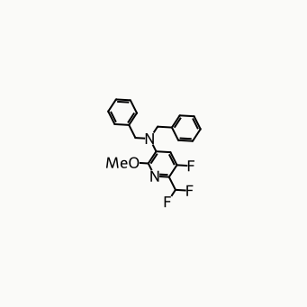 COc1nc(C(F)F)c(F)cc1N(Cc1ccccc1)Cc1ccccc1